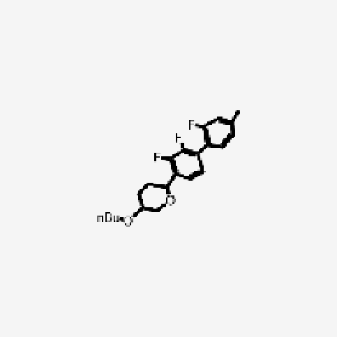 CCCCOC1CCC(c2ccc(-c3ccc(C)cc3F)c(F)c2F)OC1